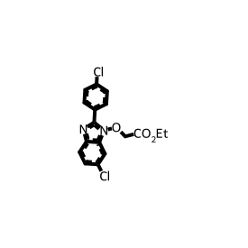 CCOC(=O)COn1c(-c2ccc(Cl)cc2)nc2ccc(Cl)cc21